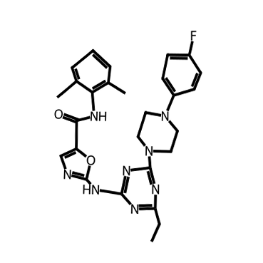 CCc1nc(Nc2ncc(C(=O)Nc3c(C)cccc3C)o2)nc(N2CCN(c3ccc(F)cc3)CC2)n1